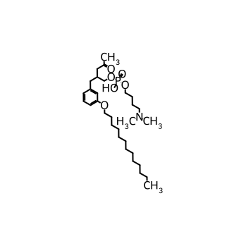 CCCCCCCCCCCCCOc1cccc(CC(COP(=O)(O)OCCCCN(C)C)CC(C)=O)c1